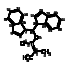 C[Si](C)=[Ti]([Cl])[O]C(C1C=Cc2ccccc21)C1C=Cc2ccccc21